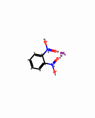 O=[N+]([O-])c1ccccc1[N+](=O)[O-].P